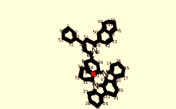 c1ccc(-c2cc(-c3cccc(-n4c5ccccc5c5ccc6c7ccccc7n(-c7ccccc7)c6c54)c3)nc(-c3ccc4ccccc4c3)c2)cc1